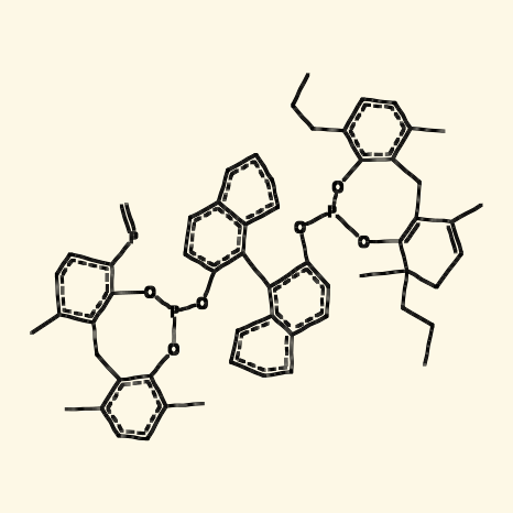 C=Pc1ccc(C)c2c1OP(Oc1ccc3ccccc3c1-c1c(OP3OC4=C(Cc5c(C)ccc(CCC)c5O3)C(C)=CCC4(C)CCC)ccc3ccccc13)Oc1c(C)ccc(C)c1C2